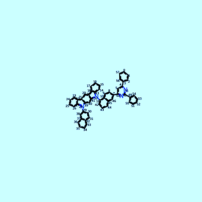 c1ccc(-c2cc(-c3ccc4c(-n5c6ccccc6c6cc7c8ccccc8n(-c8ccc9ccccc9c8)c7cc65)cccc4c3)nc(-c3ccccc3)n2)cc1